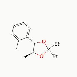 [CH2][C@@H]1OC(CC)(CC)O[C@H]1c1ccccc1C